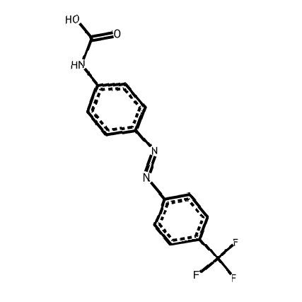 O=C(O)Nc1ccc(/N=N/c2ccc(C(F)(F)F)cc2)cc1